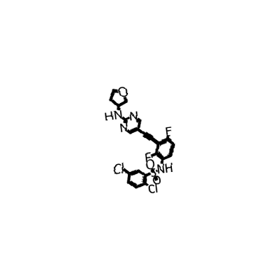 O=S(=O)(Nc1ccc(F)c(C#Cc2cnc(NC3CCOC3)nc2)c1F)c1cc(Cl)ccc1Cl